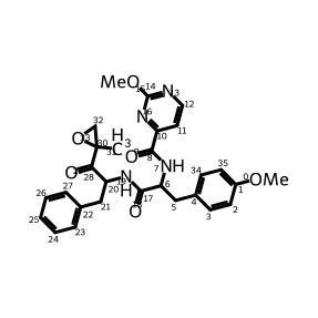 COc1ccc(CC(NC(=O)c2ccnc(OC)n2)C(=O)NC(Cc2ccccc2)C(=O)C2(C)CO2)cc1